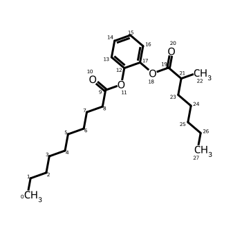 CCCCCCCCCC(=O)Oc1ccccc1OC(=O)C(C)CCCCC